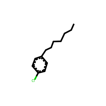 CCCCCCCc1ccc(Cl)cc1